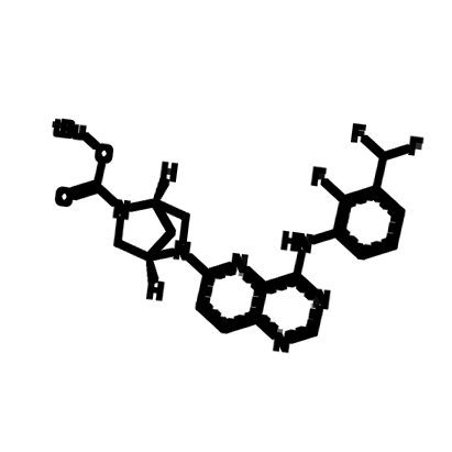 CC(C)(C)OC(=O)N1C[C@@H]2C[C@H]1CN2c1ccc2ncnc(Nc3cccc(C(F)F)c3F)c2n1